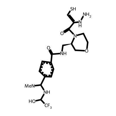 CNC(NC(O)C(F)(F)F)c1ccc(C(=O)NC[C@@H]2COCCN2C(=O)/C(=C/S)NN)cc1